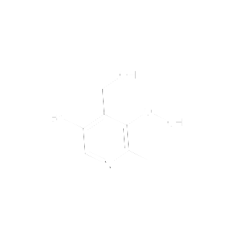 COc1c(F)ncc(Br)c1CO